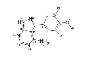 COc1c(C)cc(-c2n[nH]c3ncnc(N)c23)cc1C